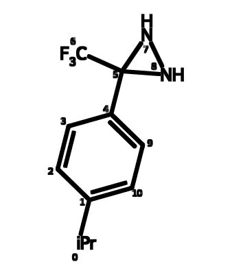 CC(C)c1ccc(C2(C(F)(F)F)NN2)cc1